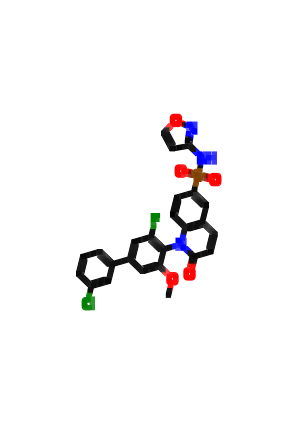 COc1cc(-c2cccc(Cl)c2)cc(F)c1-n1c(=O)ccc2cc(S(=O)(=O)Nc3ccon3)ccc21